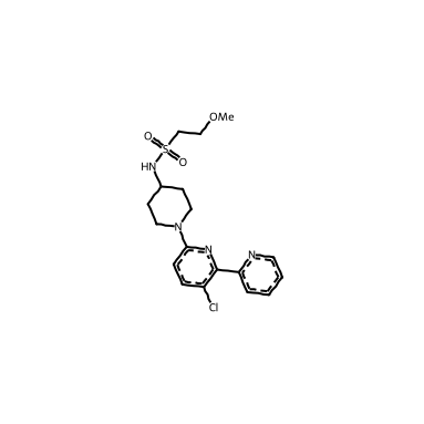 COCCS(=O)(=O)NC1CCN(c2ccc(Cl)c(-c3ccccn3)n2)CC1